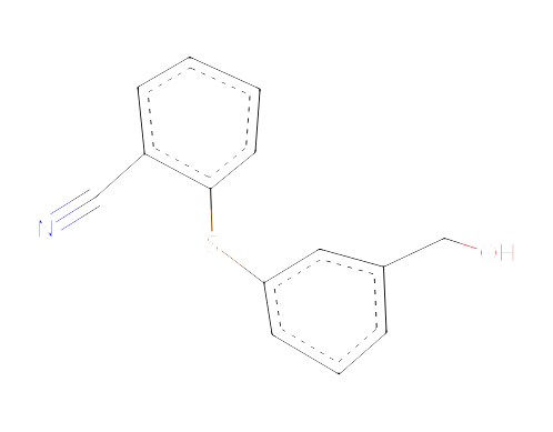 N#Cc1ccccc1Sc1cccc(CO)c1